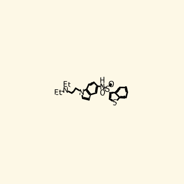 CCN(CC)CCn1ccc2cc(NS(=O)(=O)c3csc4ccccc34)ccc21